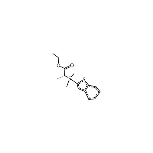 CCOC(=O)[C@@H](C)S(C)(C)c1cc2ccccc2s1